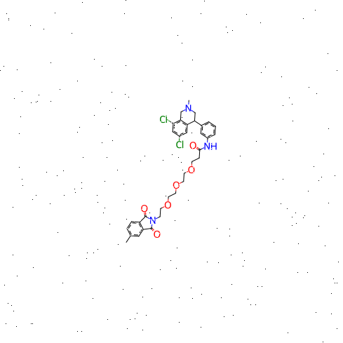 Cc1ccc2c(c1)C(=O)N(CCOCCOCCOCCC(=O)Nc1cccc(C3CN(C)Cc4c(Cl)cc(Cl)cc43)c1)C2=O